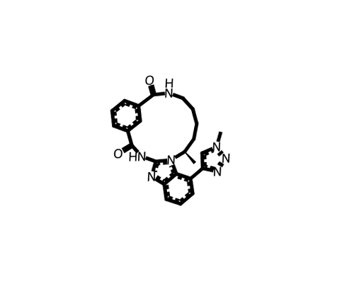 C[C@@H]1CCCCNC(=O)c2cccc(c2)C(=O)Nc2nc3cccc(-c4cn(C)nn4)c3n21